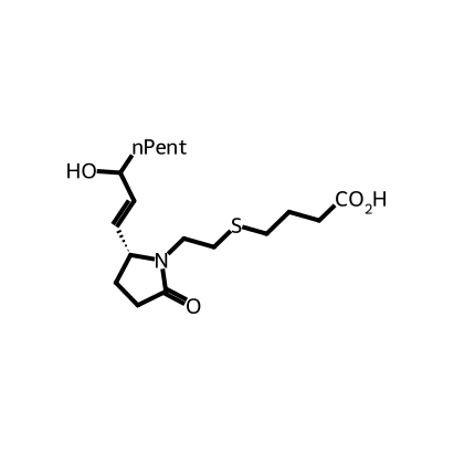 CCCCCC(O)C=C[C@H]1CCC(=O)N1CCSCCCC(=O)O